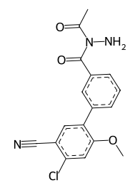 COc1cc(Cl)c(C#N)cc1-c1cccc(C(=O)N(N)C(C)=O)c1